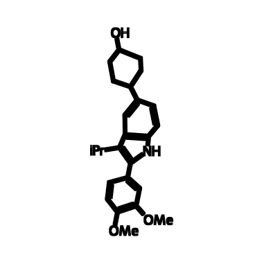 COc1ccc(-c2[nH]c3ccc(C4CCC(O)CC4)cc3c2C(C)C)cc1OC